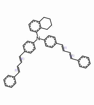 C(/C=C/c1ccc(N(c2ccc(/C=C/C=C/c3ccccc3)cc2)c2cccc3c2CCCC3)cc1)=C\c1ccccc1